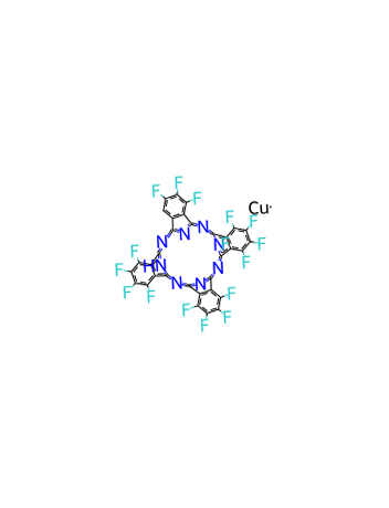 Fc1cc2c(c(F)c1F)-c1nc-2nc2[nH]c(nc3nc(nc4c5c(F)c(F)c(F)c(F)c5c(n1)n4F)-c1c(F)c(F)c(F)c(F)c1-3)c1c(F)c(F)c(F)c(F)c21.[Cu]